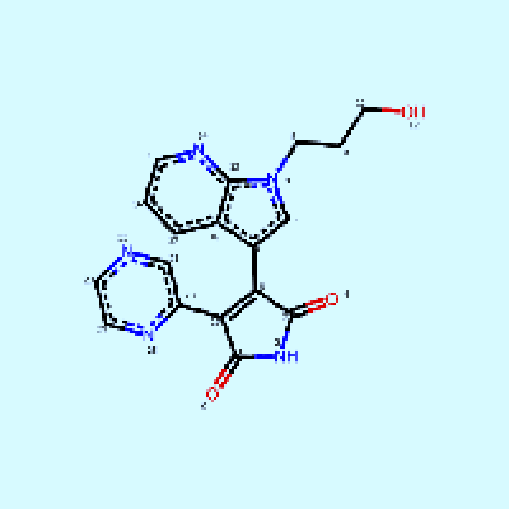 O=C1NC(=O)C(c2cn(CCCO)c3ncccc23)=C1c1cnccn1